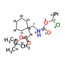 CC(C)C(Cl)OC(=O)NCC1(CC(=O)O[Si](C)(C)C)CCCCC1